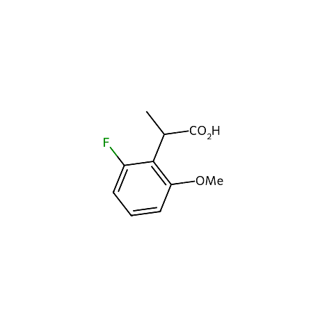 COc1cccc(F)c1C(C)C(=O)O